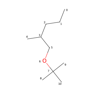 CCCC(C)COC(C)(C)C